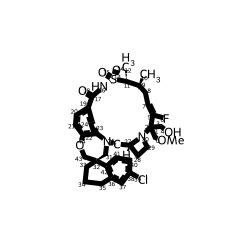 COCC1(CO)/C(F)=C/C[C@H](C)[C@@H](C)S(=O)(=O)NC(=O)c2ccc3c(c2)N(C[C@@H]2CCN21)C[C@@]1(CCCc2cc(Cl)ccc21)CO3